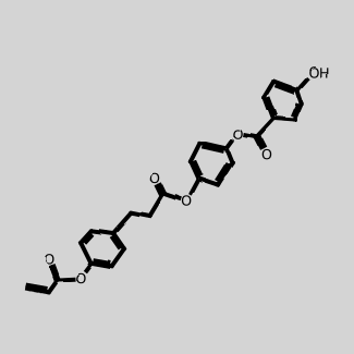 C=CC(=O)Oc1ccc(CCC(=O)Oc2ccc(OC(=O)c3ccc(O)cc3)cc2)cc1